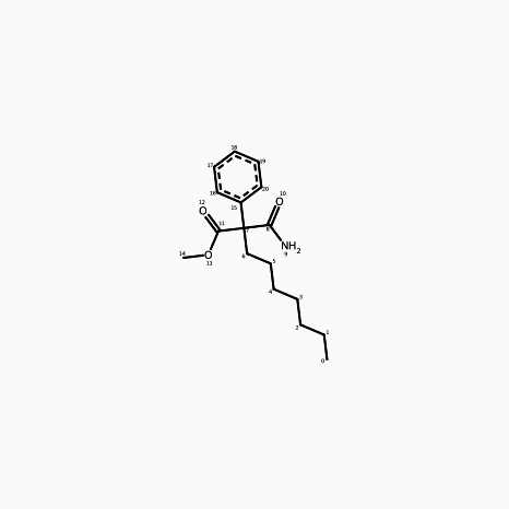 CCCCCCCC(C(N)=O)(C(=O)OC)c1ccccc1